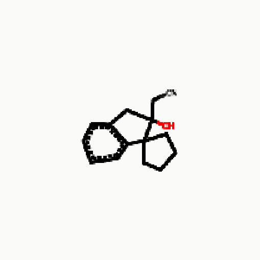 N#CCC1(O)Cc2ccccc2C12CCCC2